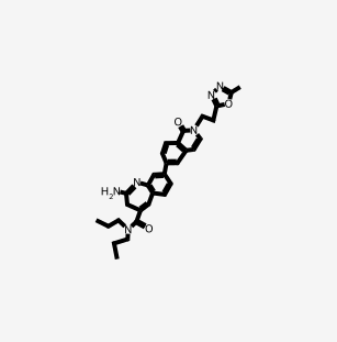 CCCN(CCC)C(=O)C1=Cc2ccc(-c3ccc4c(=O)n(CCc5nnc(C)o5)ccc4c3)cc2N=C(N)C1